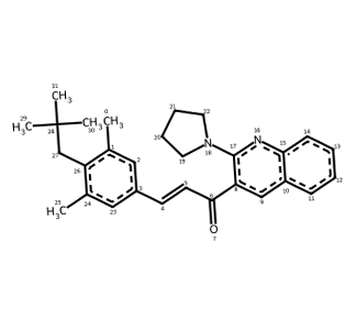 Cc1cc(/C=C/C(=O)c2cc3ccccc3nc2N2CCCC2)cc(C)c1CC(C)(C)C